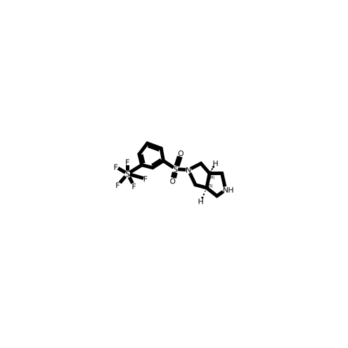 O=S(=O)(c1cccc(S(F)(F)(F)(F)F)c1)N1C[C@H]2CNC[C@H]2C1